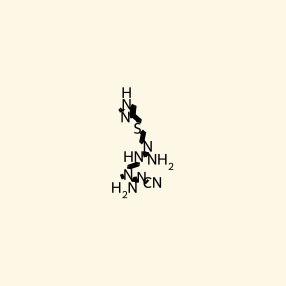 CN(CCNC(N)=NCCSCc1c[nH]cn1)C(N)=NC#N